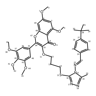 COc1cc(OC)c2c(=O)c(OCCCSc3nnc(C)n3N=Cc3ccc(C(C)(C)C)cc3)c(-c3cc(OC)c(OC)c(OC)c3)oc2c1